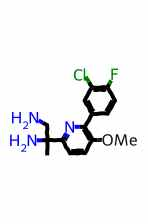 COc1ccc(C(C)(N)CN)nc1-c1ccc(F)c(Cl)c1